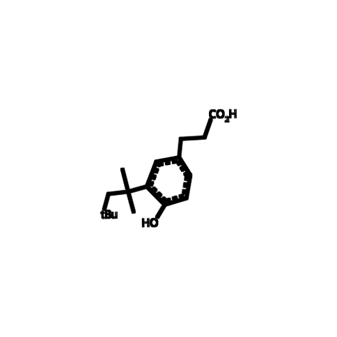 CC(C)(C)CC(C)(C)c1cc(CCC(=O)O)ccc1O